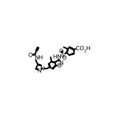 C#CC(=O)NCc1cnn(Cc2cc(C)c3c(NS(=O)(=O)c4ccc(C(=O)O)cc4C)noc3c2)c1